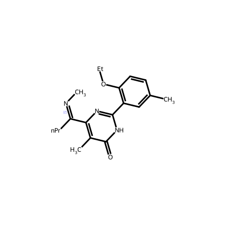 CCC/C(=N/C)c1nc(-c2cc(C)ccc2OCC)[nH]c(=O)c1C